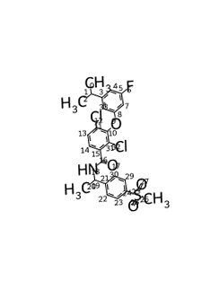 CC(C)c1cc(F)cc(Oc2c(Cl)ccc(C(=O)NC(C)c3ccc(S(C)(=O)=O)cc3)c2Cl)c1